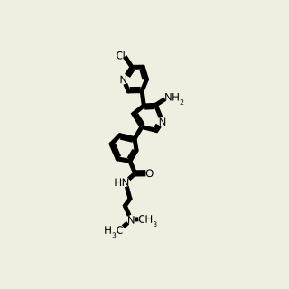 CN(C)CCNC(=O)c1cccc(-c2cnc(N)c(-c3ccc(Cl)nc3)c2)c1